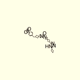 CS(=O)(=O)c1ccc(CC2CC3(C2)CN(C(=O)N2CC4(CC(c5nnc(C6CCC6)[nH]5)C4)C2)C3)cc1